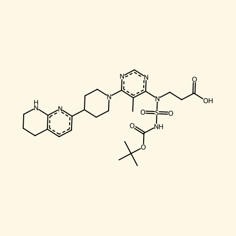 Cc1c(N2CCC(c3ccc4c(n3)NCCC4)CC2)ncnc1N(CCC(=O)O)S(=O)(=O)NC(=O)OC(C)(C)C